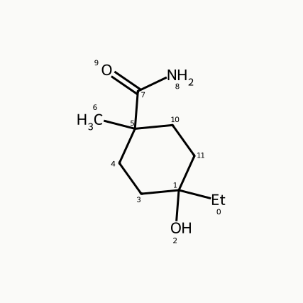 CCC1(O)CCC(C)(C(N)=O)CC1